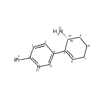 CC(C)c1ccc(C2=CCCC[C@H]2N)cn1